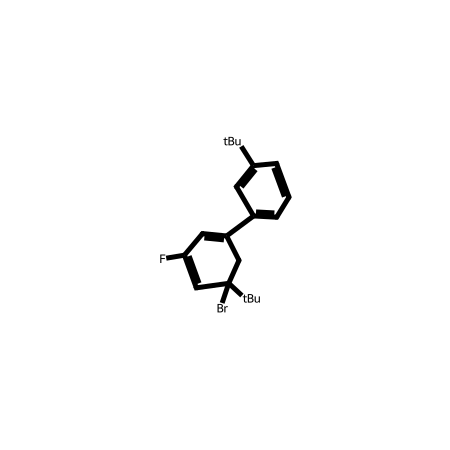 CC(C)(C)c1cccc(C2=CC(F)=CC(Br)(C(C)(C)C)C2)c1